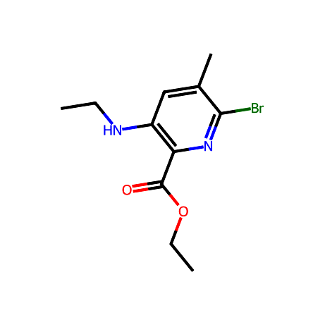 CCNc1cc(C)c(Br)nc1C(=O)OCC